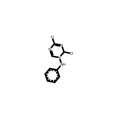 ClC1=NC(Cl)N(Nc2ccccc2)[C]=N1